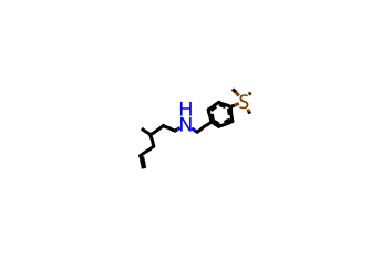 C=CCC(C)CCNCc1ccc(S(C)(C)C)cc1